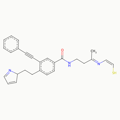 C/C(CCNC(=O)c1ccc(CCC2C=CC=N2)c(C#Cc2ccccc2)c1)=N\C=C/S